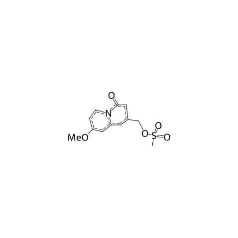 COc1ccn2c(=O)cc(COS(C)(=O)=O)cc2c1